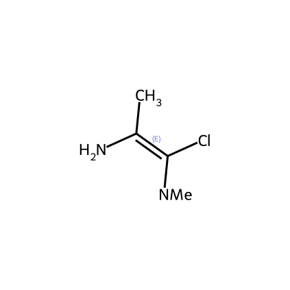 CN/C(Cl)=C(/C)N